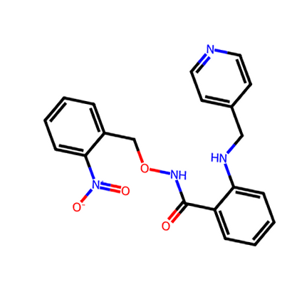 O=C(NOCc1ccccc1[N+](=O)[O-])c1ccccc1NCc1ccncc1